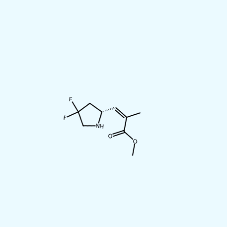 COC(=O)C(C)=C[C@H]1CC(F)(F)CN1